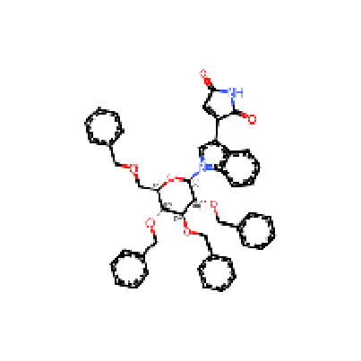 O=C1C=C(c2cn([C@@H]3O[C@H](COCc4ccccc4)[C@@H](OCc4ccccc4)[C@H](OCc4ccccc4)[C@H]3OCc3ccccc3)c3ccccc23)C(=O)N1